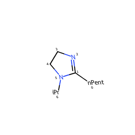 CCCCCC1=NCCN1C(C)C